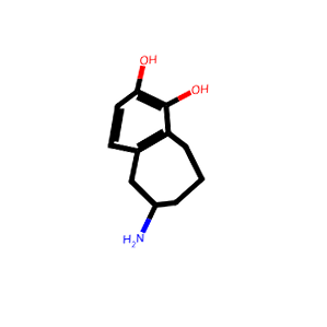 NC1CCCc2c(ccc(O)c2O)C1